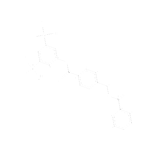 C[Si](C)(C)c1cc(OC(=O)c2ccc(COC(=O)c3ccccc3)cc2)cc([Si](C)(C)C)c1